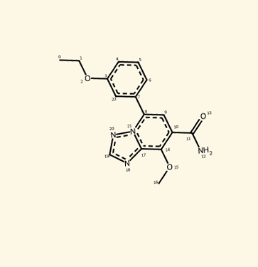 CCOc1cccc(-c2cc(C(N)=O)c(OC)c3n[c]nn23)c1